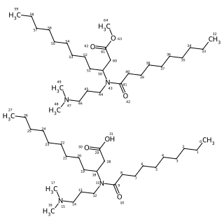 CCCCCCCCCC(=O)N(CCCN(C)C)C(CCCCCCCCC)CC(=O)O.CCCCCCCCCC(=O)N(CCCN(C)C)C(CCCCCCCCC)CC(=O)OC